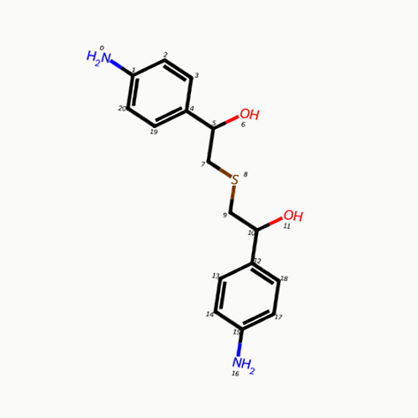 Nc1ccc(C(O)CSCC(O)c2ccc(N)cc2)cc1